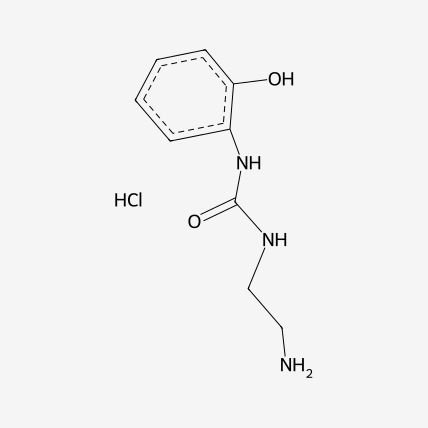 Cl.NCCNC(=O)Nc1ccccc1O